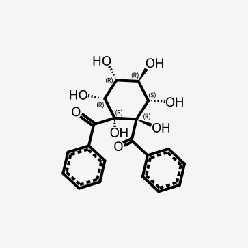 O=C(c1ccccc1)[C@@]1(O)[C@H](O)[C@H](O)[C@@H](O)[C@H](O)[C@]1(O)C(=O)c1ccccc1